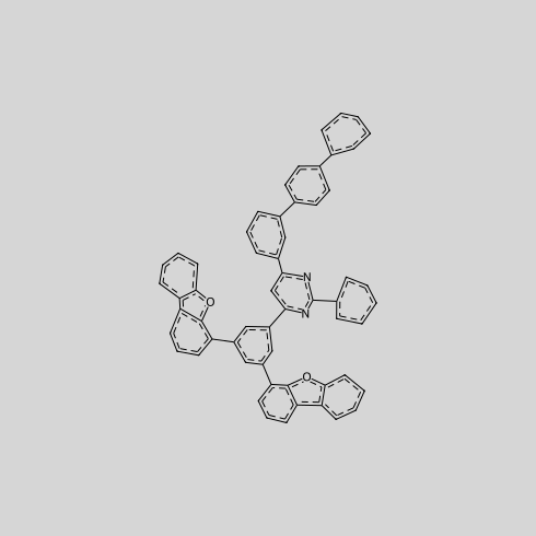 c1ccc(-c2ccc(-c3cccc(-c4cc(-c5cc(-c6cccc7c6oc6ccccc67)cc(-c6cccc7c6oc6ccccc67)c5)nc(-c5ccccc5)n4)c3)cc2)cc1